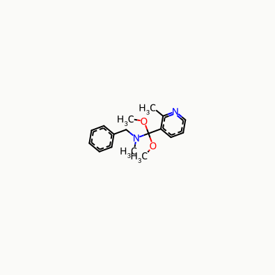 COC(OC)(c1cccnc1C)N(C)Cc1ccccc1